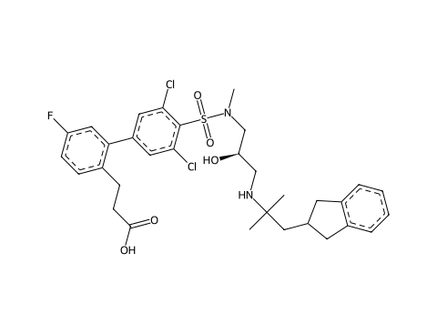 CN(C[C@H](O)CNC(C)(C)CC1Cc2ccccc2C1)S(=O)(=O)c1c(Cl)cc(-c2cc(F)ccc2CCC(=O)O)cc1Cl